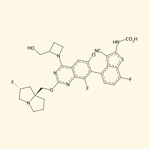 N#Cc1c(NC(=O)O)sc2c(F)ccc(-c3c(Cl)cc4c(N5CCC5CO)nc(OC[C@@]56CCCN5C[C@H](F)C6)nc4c3F)c12